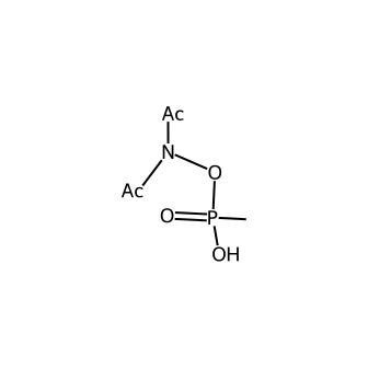 CC(=O)N(OP(C)(=O)O)C(C)=O